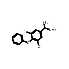 CNC(c1cc(Cl)c(Oc2ccccc2)c(Cl)c1)C(C)(C)C